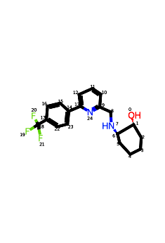 O[C@@H]1CCCC[C@H]1NCc1cccc(-c2ccc(C(F)(F)F)cc2)n1